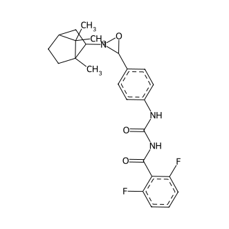 CC1(C)C2CCC1(C)C(N1OC1c1ccc(NC(=O)NC(=O)c3c(F)cccc3F)cc1)C2